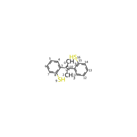 C[Si](C)(c1ccccc1S)c1ccccc1S